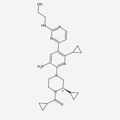 Nc1cc(-c2ccnc(NCCO)n2)c(C2CC2)nc1N1CCN(C(=O)C2CC2)[C@H](C2CC2)C1